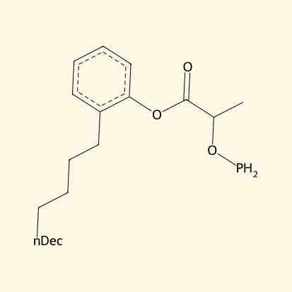 CCCCCCCCCCCCCCc1ccccc1OC(=O)C(C)OP